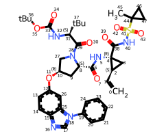 C=C[C@@H]1C[C@]1(NC(=O)[C@@H]1C[C@@H](Oc2ccc3ncn(-c4ccccc4)c3c2)CN1C(=O)[C@@H](NC(=O)OC(C)(C)C)C(C)(C)C)C(=O)NS(=O)(=O)C1(C)CC1